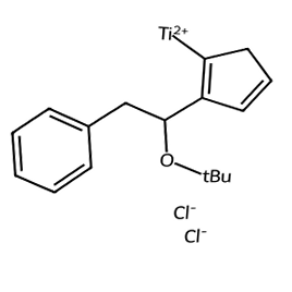 CC(C)(C)OC(Cc1ccccc1)C1=[C]([Ti+2])CC=C1.[Cl-].[Cl-]